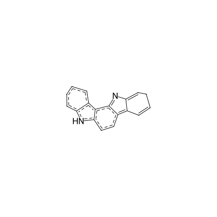 C1=CC2=c3ccc4[nH]c5ccccc5c4c3=NC2=CC1